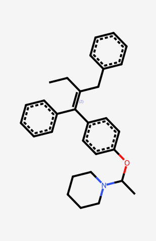 CC/C(Cc1ccccc1)=C(\c1ccccc1)c1ccc(OC(C)N2CCCCC2)cc1